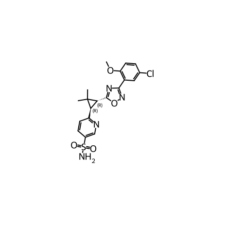 COc1ccc(Cl)cc1-c1noc([C@@H]2[C@@H](c3ccc(S(N)(=O)=O)cn3)C2(C)C)n1